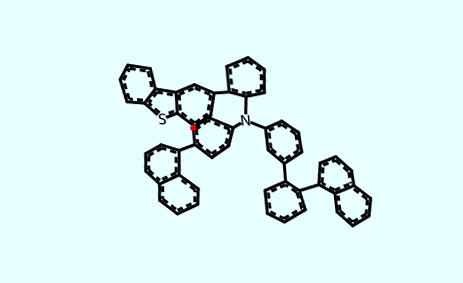 c1cc(-c2ccccc2-c2cccc3ccccc23)cc(N(c2ccc(-c3cccc4ccccc34)cc2)c2ccccc2-c2ccc3sc4ccccc4c3c2)c1